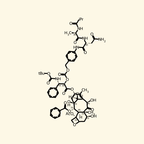 CC(=O)O[C@@]12COC1C[C@H](O)[C@@]1(C)C(=O)[C@H](O)C3=C(C)[C@@H](OC(=O)[C@H](OC(=O)OCc4ccc(NC(=O)[C@@H](CC(N)=O)NC(=O)[C@@H](C)NC(=O)C(C)C)cc4)[C@@H](NC(=O)OC(C)(C)C)c4ccccc4)C[C@@](O)([C@@H](OC(=O)c4ccccc4)[C@@H]12)C3(C)C